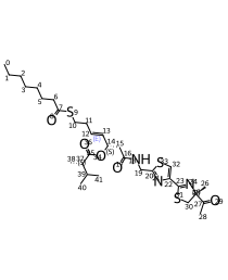 CCCCCCCC(=O)SCC/C=C/[C@H](CC(=O)NCc1nc(C2=N[C@](C)(C(C)=O)CS2)cs1)OC(=O)[C@@H](C)C(C)C